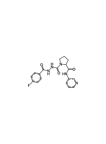 O=C(NNC(=O)N1CCCC1C(=O)Nc1cccnc1)c1ccc(F)cc1